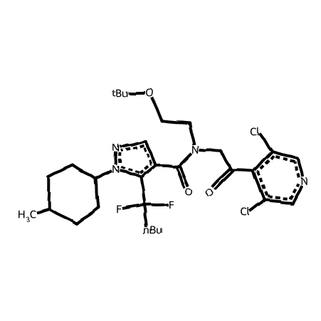 CCCCC(F)(F)c1c(C(=O)N(CCOC(C)(C)C)CC(=O)c2c(Cl)cncc2Cl)cnn1C1CCC(C)CC1